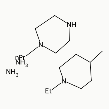 CCCN1CCNCC1.CCN1CCC(C)CC1.N.N